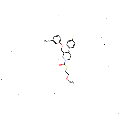 COc1cccc(OCC2CN(C(=O)SCCO[N+](=O)[O-])CC[C@H]2c2ccc(F)cc2)c1